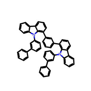 c1ccc(-c2cccc(-n3c4ccccc4c4cccc(-c5cccc(-c6cccc7c8ccccc8n(-c8cccc(-c9ccccc9)c8)c67)c5)c43)c2)cc1